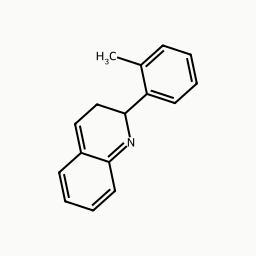 Cc1ccccc1C1CC=c2ccccc2=N1